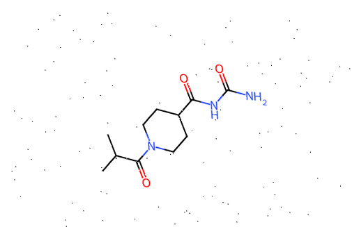 C[C](C)C(=O)N1CCC(C(=O)NC(N)=O)CC1